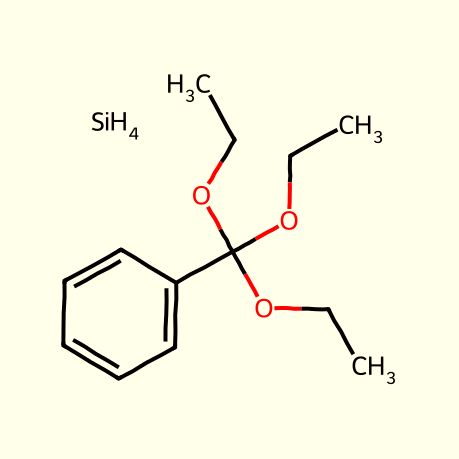 CCOC(OCC)(OCC)c1ccccc1.[SiH4]